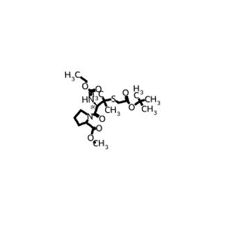 CCOC(=O)N[C@H](C(=O)N1CCCC1C(=O)OC)C(C)(C)SCC(=O)OC(C)(C)C